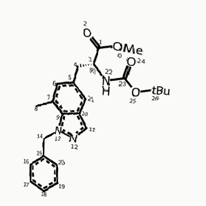 COC(=O)[C@@H](Cc1cc(C)c2c(cnn2Cc2ccccc2)c1)NC(=O)OC(C)(C)C